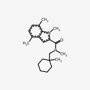 Cc1ccc(C)c2c1cc(C(=O)N(C)CC1(C)CCCCC1)n2C